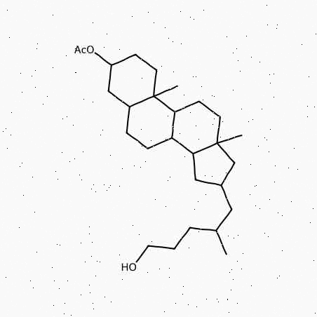 CC(=O)OC1CCC2(C)C(CCC3C4CC(CC(C)CCCO)CC4(C)CCC32)C1